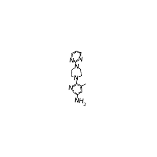 Cc1cc(N)cnc1N1CCN(c2ncccn2)CC1